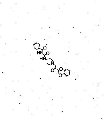 O=C(NC(=O)c1ccccc1)NC1CCN(CC(=O)C2COc3ccccc3O2)CC1